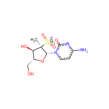 C[C@@]1(S(C)(=O)=O)[C@H](O)[C@@H](CO)O[C@H]1n1ccc(N)nc1=O